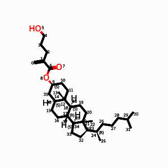 C=C(CCCO)C(=O)O[C@H]1CC[C@@]2(C)[C@@H](CC[C@@H]3[C@@H]2CC[C@]2(C)[C@@H]([C@H](C)CCCC(C)C)CC[C@@H]32)C1